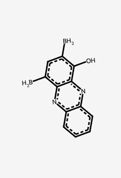 Bc1cc(B)c2nc3ccccc3nc2c1O